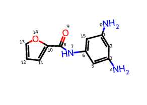 Nc1cc(N)cc(NC(=O)c2ccco2)c1